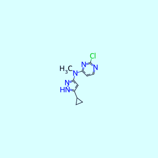 CN(c1cc(C2CC2)[nH]n1)c1ccnc(Cl)n1